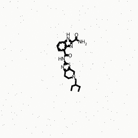 CCC(CC)CN1CCc2nc(NC(=O)c3cccc4[nH]c(C(N)=O)nc34)sc2C1